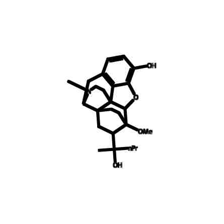 CCCC(C)(O)C1CC23CCC1(OC)C1Oc4c(O)ccc5c4C12CCN(C)C3C5